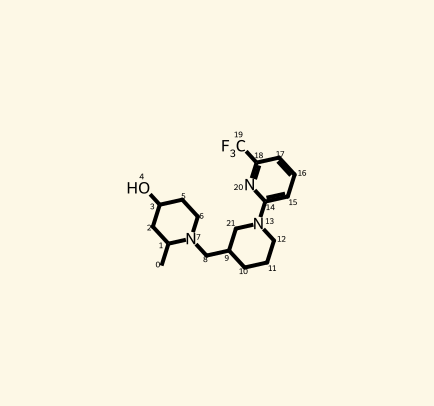 CC1CC(O)CCN1CC1CCCN(c2cccc(C(F)(F)F)n2)C1